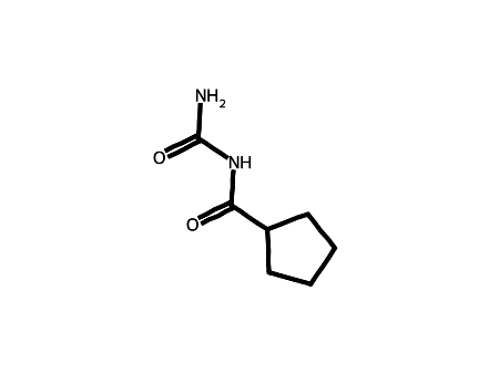 NC(=O)NC(=O)C1CCCC1